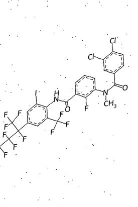 CN(C(=O)c1ccc(Cl)c(Cl)c1)c1cccc(C(=O)Nc2c(I)cc(C(F)(C(F)(F)F)C(F)(F)C(F)(F)F)cc2C(F)(F)F)c1F